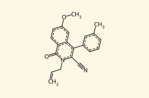 C=CCn1c(C#N)c(-c2cccc(C)c2)c2cc(OC)ccc2c1=O